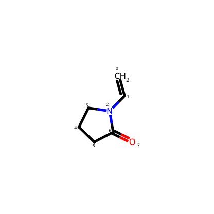 C=CN1CC[CH]C1=O